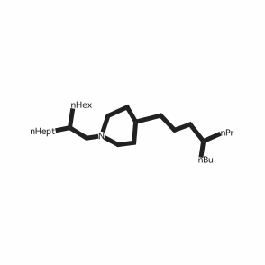 CCCCCCCC(CCCCCC)CN1CCC(CCCC(CCC)CCCC)CC1